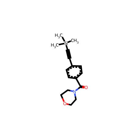 C[Si](C)(C)C#Cc1ccc(C(=O)N2CCOCC2)cc1